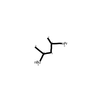 C[CH]CC(C)CC(C)CCCC